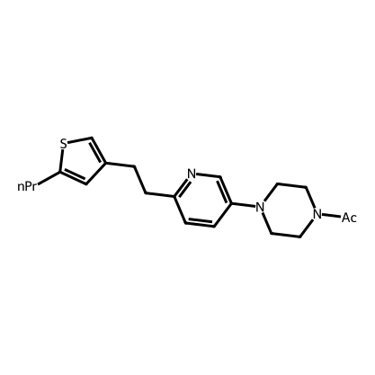 [CH2]CCc1cc(CCc2ccc(N3CCN(C(C)=O)CC3)cn2)cs1